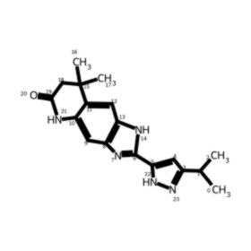 CC(C)c1cc(-c2nc3cc4c(cc3[nH]2)C(C)(C)CC(=O)N4)[nH]n1